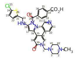 CN1CCN(Cn2cc(-c3ccncc3)c(-c3cc(NCc4ccc(Cl)s4)n(C(=O)c4ccc(C(=O)O)cc4)n3)cc2=O)CC1